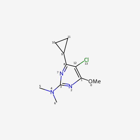 COc1nc(N(C)C)nc(C2CC2)c1Cl